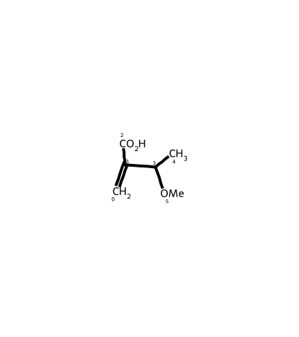 C=C(C(=O)O)C(C)OC